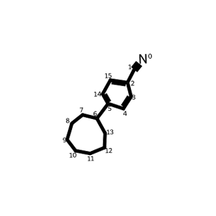 N#Cc1ccc(C2CCCCCCC2)cc1